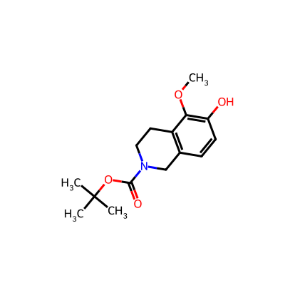 COc1c(O)ccc2c1CCN(C(=O)OC(C)(C)C)C2